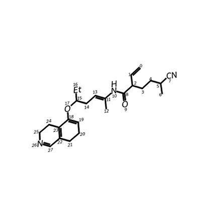 C=CC(CCC(C)C#N)C(=O)N/C(C)=C/CC(CC)OC1=CCCC2=C1CCN=C2